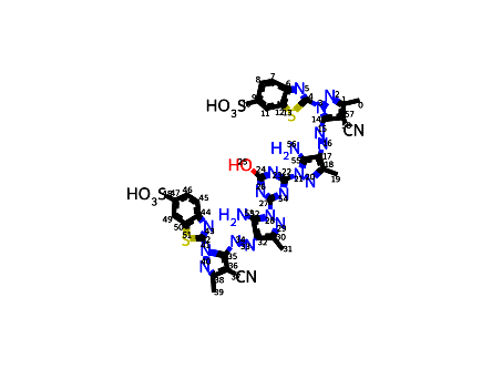 Cc1nn(-c2nc3ccc(S(=O)(=O)O)cc3s2)c(N=Nc2c(C)nn(-c3nc(O)nc(-n4nc(C)c(N=Nc5c(C#N)c(C)nn5-c5nc6ccc(S(=O)(=O)O)cc6s5)c4N)n3)c2N)c1C#N